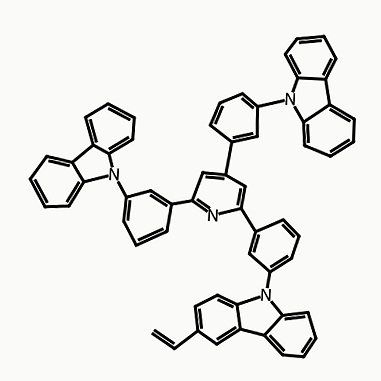 C=Cc1ccc2c(c1)c1ccccc1n2-c1cccc(-c2cc(-c3cccc(-n4c5ccccc5c5ccccc54)c3)cc(-c3cccc(-n4c5ccccc5c5ccccc54)c3)n2)c1